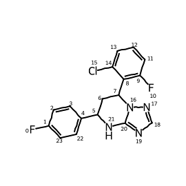 Fc1ccc(C2CC(c3c(F)cccc3Cl)n3ncnc3N2)cc1